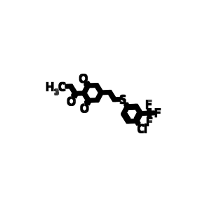 CCC(=O)C1C(=O)CC(CCSc2ccc(Cl)c(C(F)(F)F)c2)CC1=O